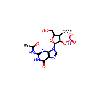 COC1C(CO)OC(n2cnc3c(=O)[nH]c(NC(=O)C(C)C)nc32)C1O[PH](=O)O